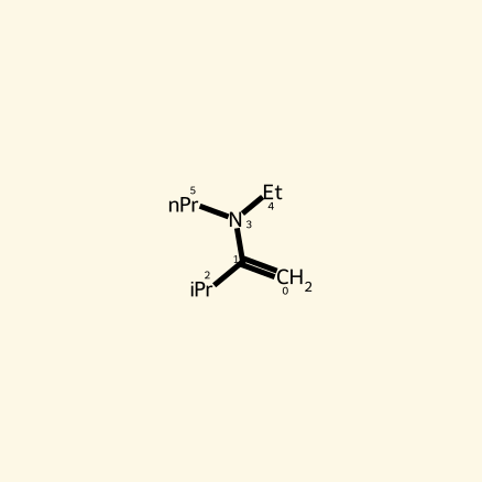 C=C(C(C)C)N(CC)CCC